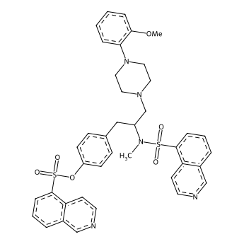 COc1ccccc1N1CCN(CC(Cc2ccc(OS(=O)(=O)c3cccc4cnccc34)cc2)N(C)S(=O)(=O)c2cccc3cnccc23)CC1